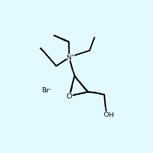 CC[N+](CC)(CC)C1OC1CO.[Br-]